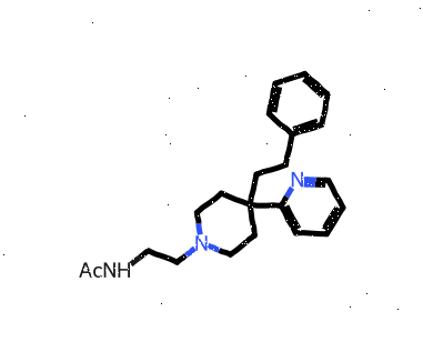 CC(=O)NCCN1CCC(CCc2ccccc2)(c2ccccn2)CC1